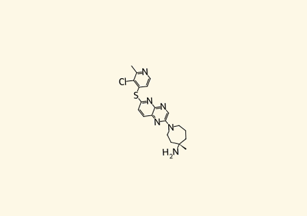 Cc1nccc(Sc2ccc3nc(N4CCC[C@](C)(N)CC4)cnc3n2)c1Cl